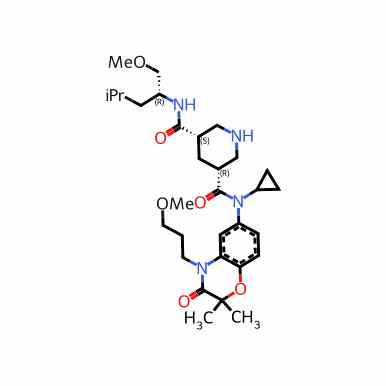 COCCCN1C(=O)C(C)(C)Oc2ccc(N(C(=O)[C@H]3CNC[C@@H](C(=O)N[C@@H](COC)CC(C)C)C3)C3CC3)cc21